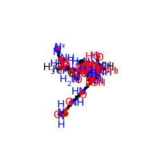 CC(C)C[C@H](NC(=O)[C@H](CC(N)=O)NC(=O)[C@H](CCC(=O)O)NC(=O)[C@@H](NC(=O)CNC(=O)CNC(=O)CCCCCNC(=O)CCCCCNC(=O)CCCCC1SCC2NC(=O)NC21)[C@H](C)O)C(=O)N[C@@H](Cc1ccc(O)cc1)C(=O)N[C@@H](Cc1ccccc1)C(=O)N[C@@H](CCC(N)=O)C(=O)NCC(=O)NCC(=O)NC(C(=O)N[C@H](CCCCN=[N+]=[N-])C(N)=O)C(C)C